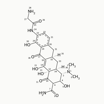 CN(C)[C@@H]1C(O)C(C(N)=O)C(=O)[C@@]2(O)C(O)=C3C(=O)c4c(ccc(NC(=O)CN)c4O)C[C@H]3C[C@@H]12